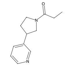 CCC(=O)N1CCC(c2cccnc2)C1